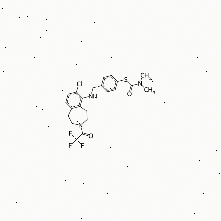 CN(C)C(=O)Sc1ccc(CNc2c(Cl)ccc3c2CCN(C(=O)C(F)(F)F)CC3)cc1